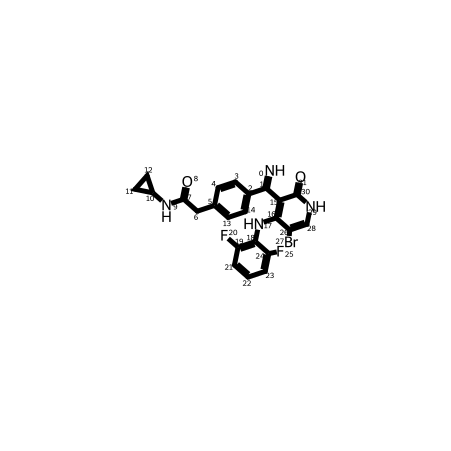 N=C(c1ccc(CC(=O)NC2CC2)cc1)c1c(Nc2c(F)cccc2F)c(Br)c[nH]c1=O